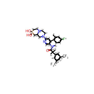 Cc1cc(F)ccc1-c1cc(N2CCN3CCS(O)(O)CC3C2)ncc1N(C)C(=O)C(C)(C)c1cc(C(F)(F)F)cc(C(F)(F)F)c1